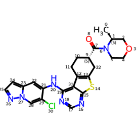 C[C@H]1COCCN1C(=O)[C@H]1CCc2c(sc3ncnc(Nc4cc5ccnn5cc4Cl)c23)C1